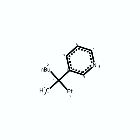 CCCCC(C)(CC)c1cccnc1